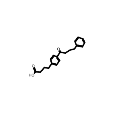 O=C(O)CCCc1ccc(C(=O)CCCc2ccccc2)cc1